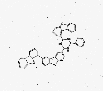 C1=CC2c3ccccc3OC2C(c2ccc3sc4ccc(C5NC(c6ccccc6)NC(c6cccc7oc8ccccc8c67)N5)cc4c3c2)=C1